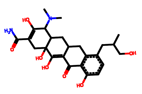 CC(CO)Cc1ccc(O)c2c1CC1CC3C(N(C)C)C(O)=C(C(N)=O)CC3(O)C(O)=C1C2=O